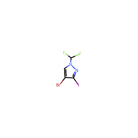 FC(F)n1cc(Br)c(I)n1